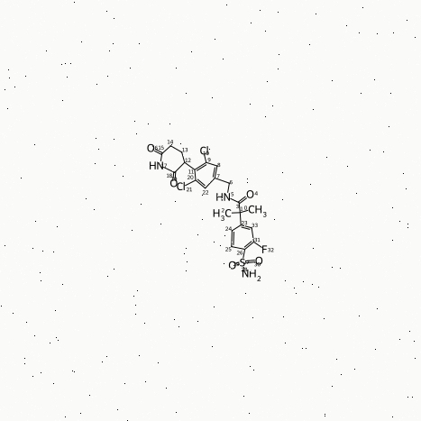 CC(C)(C(=O)NCc1cc(Cl)c(C2CCC(=O)NC2=O)c(Cl)c1)c1ccc(S(N)(=O)=O)c(F)c1